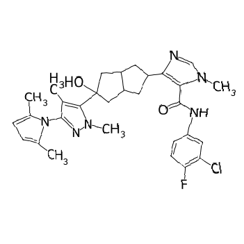 Cc1c(-n2c(C)ccc2C)nn(C)c1C1(O)CC2CC(c3ncn(C)c3C(=O)Nc3ccc(F)c(Cl)c3)CC2C1